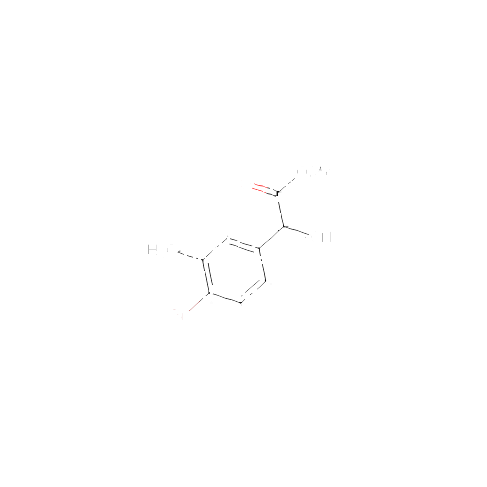 COC(=O)C(C)c1ccc(Br)c(C)c1